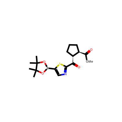 COC(=O)[C@@H]1CCC[C@H]1C(=O)c1ncc(B2OC(C)(C)C(C)(C)O2)s1